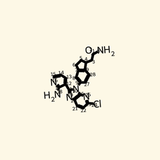 NC(=O)CC1CCc2cc(-n3c(-c4cccnc4N)nc4ccc(Cl)nc43)ccc21